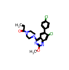 C=CC(=O)N1CCN(c2nc(OC)nc3cc(Cl)c(-c4ccc(Cl)cc4)cc23)CC1